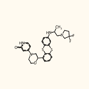 CC(CN1CCC(F)(F)C1)Nc1ccc2c(c1)Sc1cccc(C3CN(c4cc[nH]c(=O)c4)CCO3)c1S2